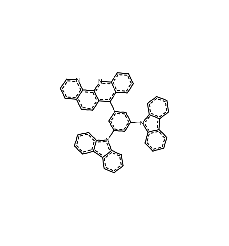 c1cnc2c(c1)ccc1c(-c3cc(-n4c5ccccc5c5ccccc54)cc(-n4c5ccccc5c5ccccc54)c3)c3ccccc3nc12